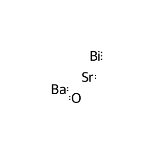 [Ba].[Bi].[O].[Sr]